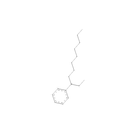 [CH2]CCCCCCCC(CC)c1ccccc1